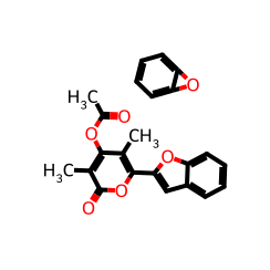 CC(=O)Oc1c(C)c(-c2cc3ccccc3o2)oc(=O)c1C.c1ccc2c(c1)O2